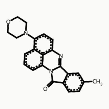 Cc1ccc2c(c1)C1=Nc3ccc(N4CCOCC4)c4cccc(c34)N1C2=O